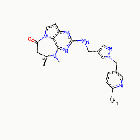 C[C@H]1CC(=O)n2ccc3nc(NCc4cnn(Cc5ccc(C(F)(F)F)nc5)c4)nc(c32)N1C